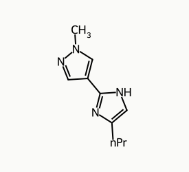 CCCc1c[nH]c(-c2cnn(C)c2)n1